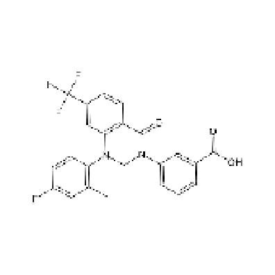 Cc1cc(F)ccc1N1CN(c2cccc(C(=O)O)c2)C(=O)c2ccc(C(F)(F)F)cc21